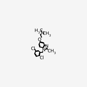 Cc1nc2cc(OCCN(C)C)ccc2n1Cc1cc(Cl)ccc1Cl